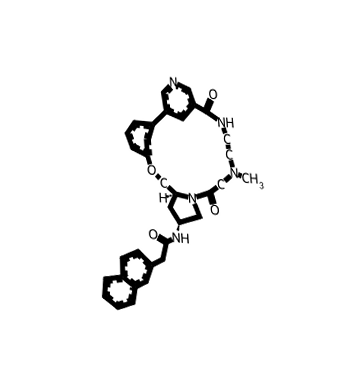 CN1CCNC(=O)c2cncc(c2)-c2cccc(c2)OC[C@@H]2C[C@@H](NC(=O)Cc3ccc4ccccc4c3)CN2C(=O)C1